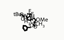 COC(CN1CC[C@H]2[C@@H]1C(F)(F)CN2C(=O)OC(C)(C)C)C(C)(C)C(=O)OCc1ccccc1